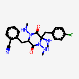 CNN1C(=O)C(Cc2ccc(F)cc2)(NC)N(NC)C(=O)C1Cc1ccccc1C#N